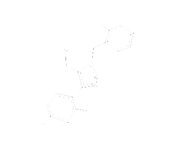 Cc1ccccc1Cn1cnc(-c2ccc(Cl)cc2Cl)c1CN